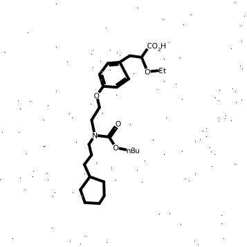 CCCCOC(=O)N(CCCC1CCCCC1)CCOc1ccc(CC(OCC)C(=O)O)cc1